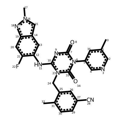 Cc1cncc(-n2c(=O)nc(Nc3cc4cn(C)nc4cc3F)n(Cc3cc(C#N)ccc3C)c2=O)c1